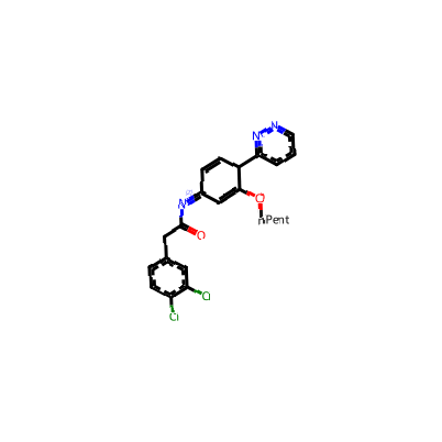 CCCCCOC1=C/C(=N\C(=O)Cc2ccc(Cl)c(Cl)c2)C=CC1c1cccnn1